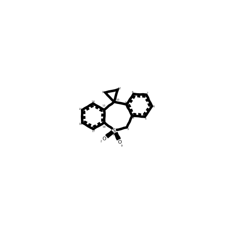 O=S1(=O)Cc2ccccc2C2(CC2)c2ccccc21